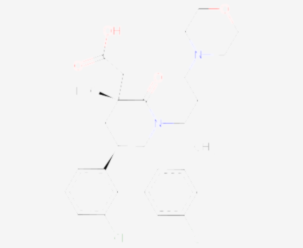 C[C@@H](CCN1CCOCC1)N1C(=O)[C@@](C)(CC(=O)O)C[C@H](c2cccc(Cl)c2)[C@H]1c1ccc(Cl)cc1